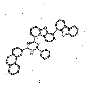 c1ccc(C2=NC(c3cccc4oc5c(-c6cccc7c6oc6ccccc67)cccc5c34)=NC(c3ccc4ccc5ccccc5c4c3)N2)cc1